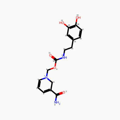 NC(=O)C1=CC=CN(COC(=O)NCCc2ccc(O)c(O)c2)C1